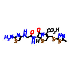 Cc1nnc(SCC2=C(C(=O)O)N3C(=O)[C@@H](NC(=O)CNc4csc(N)n4)[C@@H]3SC2)s1